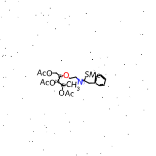 CS/C(Cc1ccccc1)=N\CCO[C@H](COC(C)=O)[C@@H](OC(C)=O)[C@@H](C)OC(C)=O